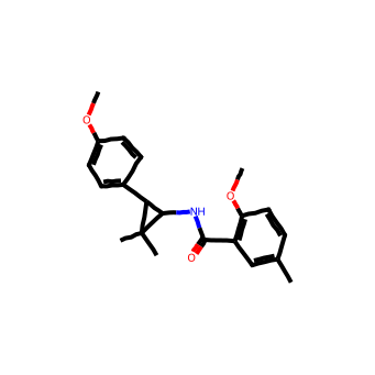 COc1ccc(C2C(NC(=O)c3cc(C)ccc3OC)C2(C)C)cc1